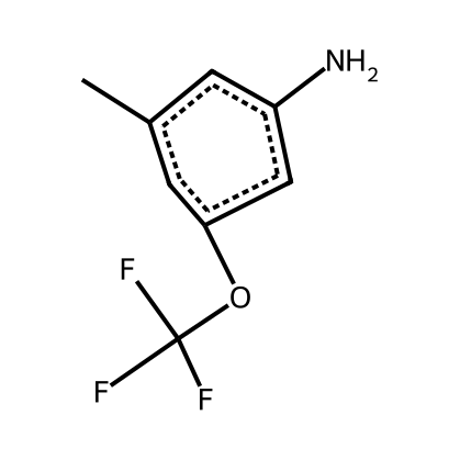 Cc1cc(N)cc(OC(F)(F)F)c1